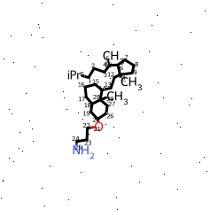 CC(C)CCC[C@@H](C)C1CCCC1(C)CCC1CCCC2CC(OCCCN)CCC12C